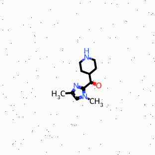 Cc1cn(C)c(C(=O)C2CCNCC2)n1